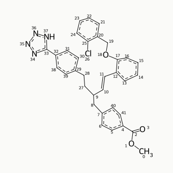 COC(=O)c1ccc(CC(C=Cc2ccccc2OCc2ccccc2Cl)CCc2ccc(-c3nnn[nH]3)cc2)cc1